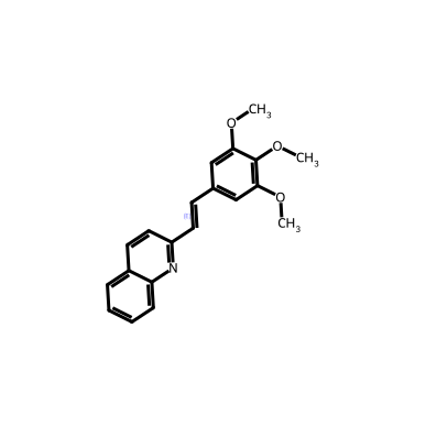 COc1cc(/C=C/c2ccc3ccccc3n2)cc(OC)c1OC